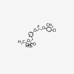 Cc1cc(Cl)ccc1OC[C@@H](F)COc1cccc(C[C@H](OC(C)C)C(=O)O)c1